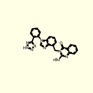 CCCCc1nc2ccccc2c(=O)n1Cc1cccc2c1ncn2-c1ccccc1-c1nn[nH]n1